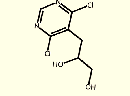 OCC(O)Cc1c(Cl)ncnc1Cl